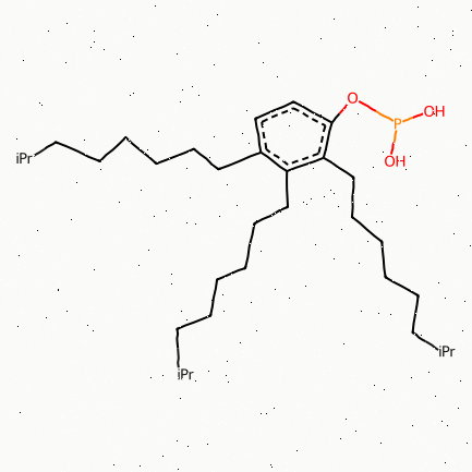 CC(C)CCCCCCc1ccc(OP(O)O)c(CCCCCCC(C)C)c1CCCCCCC(C)C